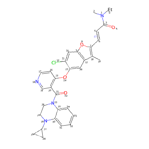 CCN(C)C(=O)/C=C/c1oc2cc(Cl)c(Oc3ccncc3C(=O)N3CCN(C4CC4)c4ccccc43)cc2c1C